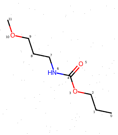 CCCOC(=O)NCCCOC